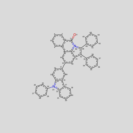 O=c1c2ccccc2c2cc(-c3ccc4c(c3)c3ccccc3n4-c3ccccc3)cc3c(-c4ccccc4)c(-c4ccccc4)n1c32